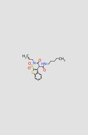 C=CCN1C(=O)C(C(=O)NCCCCC)c2c(sc3ccccc23)S1(=O)=O